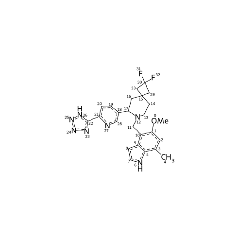 COc1cc(C)c2[nH]ccc2c1CN1CCC2(CC1c1ccc(-c3nnn[nH]3)nc1)CC(F)(F)C2